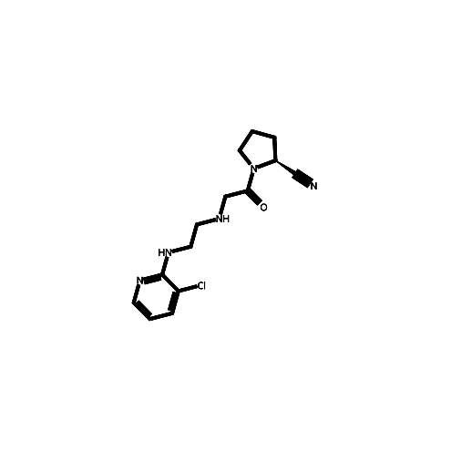 N#C[C@@H]1CCCN1C(=O)CNCCNc1ncccc1Cl